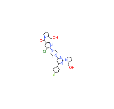 C[C@@H]1CN(c2ncc(C(=O)N3CCC[C@H]3CO)cc2Cl)CCN1c1cc(-c2ccc(F)cc2)nc(N2CCC[C@H]2CO)n1